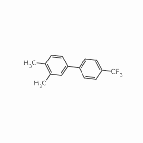 Cc1ccc(-c2ccc(C(F)(F)F)cc2)cc1C